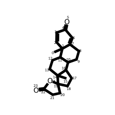 CC12C=CC(=O)C=C1CCC1C2CCC2(C)C1CCC21CCC(=O)O1